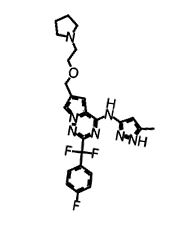 Cc1cc(Nc2nc(C(F)(F)c3ccc(F)cc3)nn3cc(COCCN4CCCC4)cc23)n[nH]1